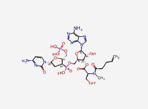 C=CCCC(=O)N(C)C(CO)C(=O)O[C@H]1[C@@H](O)[C@H](n2cnc3c(N)ncnc32)O[C@@H]1COP(=O)(O)[C@H]1C[C@H](n2ccc(N)nc2=O)O[C@@H]1COP(=O)(O)O